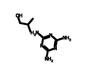 CC(C)CO.Nc1nc(N)nc(N)n1